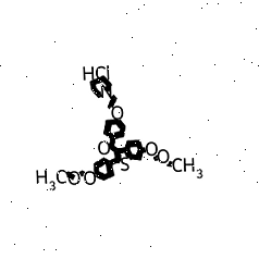 CCOCOc1ccc(-c2sc3cc(OCOCC)ccc3c2C(=O)c2ccc(OCCN3CCCCC3)cc2)cc1.Cl